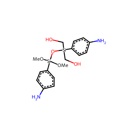 CO[Si](OC)(O[Si](CO)(CO)c1ccc(N)cc1)c1ccc(N)cc1